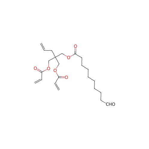 C=CCC(COC(=O)C=C)(COC(=O)C=C)COC(=O)CCCCCCCCC=O